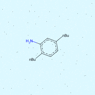 CCCCc1ccc(CCCC)c(N)c1